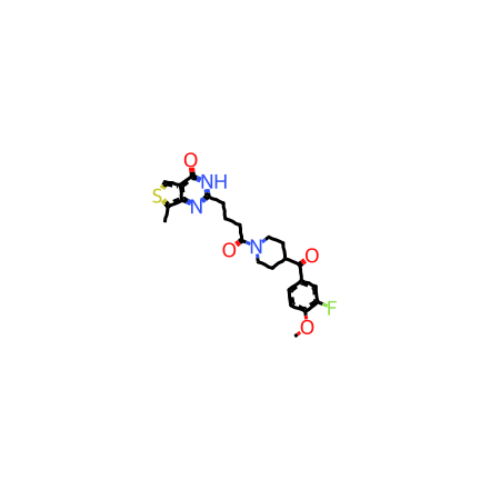 COc1ccc(C(=O)C2CCN(C(=O)CCCc3nc4c(C)scc4c(=O)[nH]3)CC2)cc1F